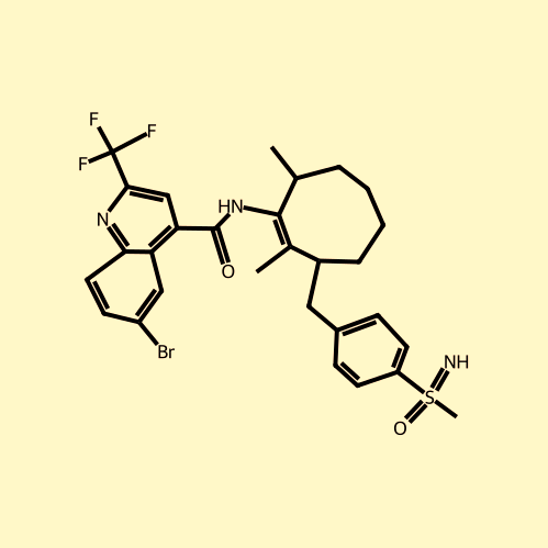 C/C1=C(\NC(=O)c2cc(C(F)(F)F)nc3ccc(Br)cc23)C(C)CCCCC1Cc1ccc(S(C)(=N)=O)cc1